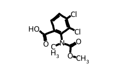 COC(=O)N(C)c1c(C(=O)O)ccc(Cl)c1Cl